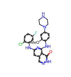 COc1cc(N2CCNCC2)ccc1Nc1nc(Nc2cc(F)ccc2Cl)cc2cn[nH]c(=O)c12